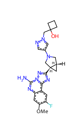 COc1cc2nc(N)n3nc([C@]45C[C@H]4CN(c4cnn(CC6(O)CCC6)c4)C5)nc3c2cc1F